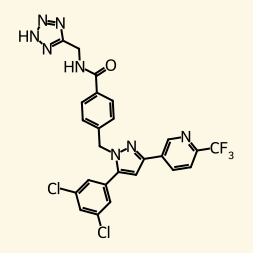 O=C(NCc1nn[nH]n1)c1ccc(Cn2nc(-c3ccc(C(F)(F)F)nc3)cc2-c2cc(Cl)cc(Cl)c2)cc1